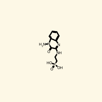 Nn1c(=O)c(NCCP(=O)(O)O)nc2ccccc21